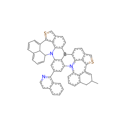 CC1C=c2c3scc4ccc5c(c43)n(c3cccc(c23)C1)-c1cc(-c2nccc3ccccc23)cc2c1B5c1ccc3csc4c3c1N2C1C=CC=C2C=CC=C4C21